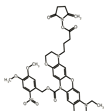 C=C1CCC(=O)N1OC(=O)CCCN1CCOc2cc3c(cc21)Oc1cc2c(cc1N3C(=O)OCc1cc(OC)c(OC)cc1[N+](=O)[O-])OCCN2CC